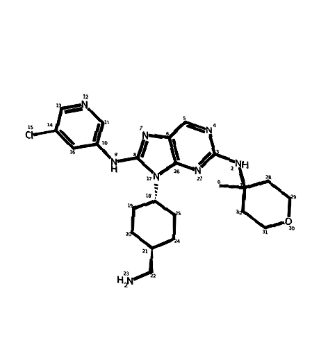 CC1(Nc2ncc3nc(Nc4cncc(Cl)c4)n([C@H]4CC[C@H](CN)CC4)c3n2)CCOCC1